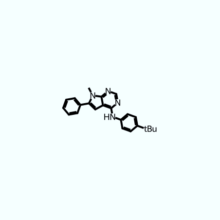 Cn1c(-c2ccccc2)cc2c(Nc3ccc(C(C)(C)C)cc3)ncnc21